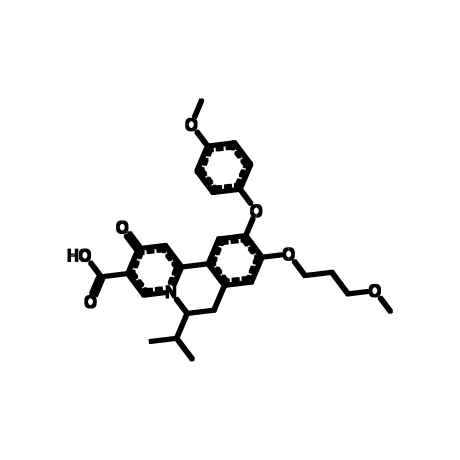 COCCCOc1cc2c(cc1Oc1ccc(OC)cc1)-c1cc(=O)c(C(=O)O)cn1C(C(C)C)C2